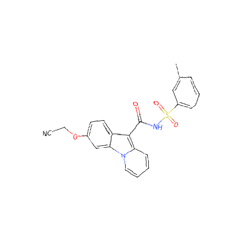 Cc1cccc(S(=O)(=O)NC(=O)c2c3ccc(OCC#N)cc3n3ccccc23)c1